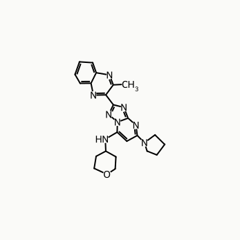 Cc1nc2ccccc2nc1-c1nc2nc(N3CCCC3)cc(NC3CCOCC3)n2n1